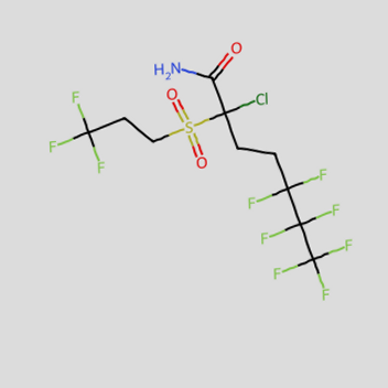 NC(=O)C(Cl)(CCC(F)(F)C(F)(F)C(F)(F)F)S(=O)(=O)CCC(F)(F)F